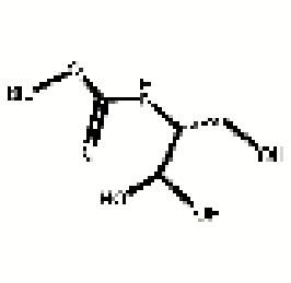 CC(C)(C)OC(=O)N[C@H](CO)C(O)O